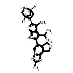 Cc1nc2c3c(c(-c4[nH]c5sc([C@@H]6C[C@@H]7C[C@H]6CN7)c(C)c5c4C(C)C)cn2n1)COC3